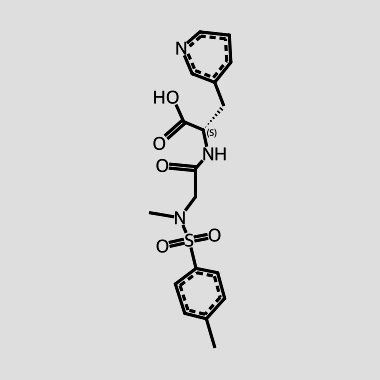 Cc1ccc(S(=O)(=O)N(C)CC(=O)N[C@@H](Cc2cccnc2)C(=O)O)cc1